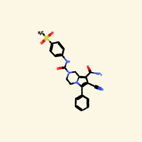 CS(=O)(=O)c1ccc(NC(=O)N2CCn3c(c(C(N)=O)c(C#N)c3-c3ccccc3)C2)cc1